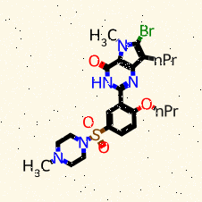 CCCOc1ccc(S(=O)(=O)N2CCN(C)CC2)cc1-c1nc2c(CCC)c(Br)n(C)c2c(=O)[nH]1